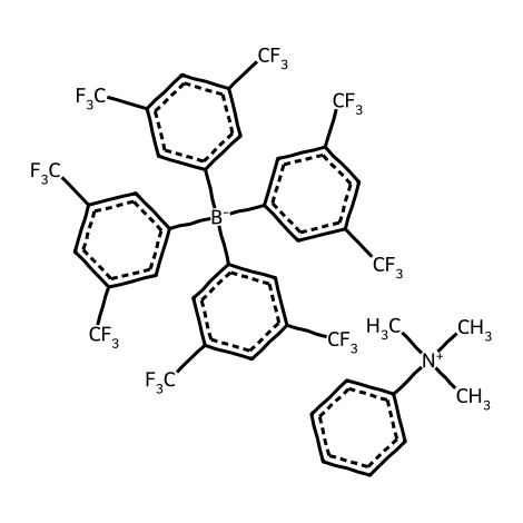 C[N+](C)(C)c1ccccc1.FC(F)(F)c1cc([B-](c2cc(C(F)(F)F)cc(C(F)(F)F)c2)(c2cc(C(F)(F)F)cc(C(F)(F)F)c2)c2cc(C(F)(F)F)cc(C(F)(F)F)c2)cc(C(F)(F)F)c1